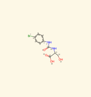 O=C(Nc1ccc(Br)cc1)NC(CO)C(=O)O